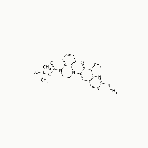 CSc1ncc2cc(N3CCN(C(=O)OC(C)(C)C)c4ccccc43)c(=O)n(C)c2n1